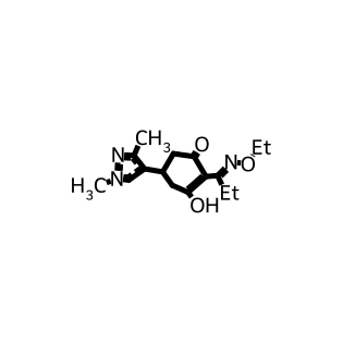 CCON=C(CC)C1=C(O)CC(c2cn(C)nc2C)CC1=O